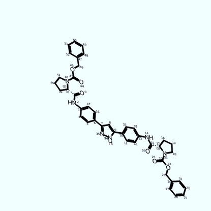 O=C(Nc1ccc(-c2cc(-c3ccc(NC(=O)[C@@H]4CCCN4C(=O)OCc4ccccc4)cc3)[nH]n2)cc1)[C@@H]1CCCN1C(=O)OCc1ccccc1